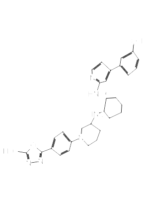 Cc1nnc(-c2ccc(N3CCCC(N[C@@H]4CCCC[C@H]4Nc4cc(-c5cccc(O)c5)ccn4)C3)cc2)o1